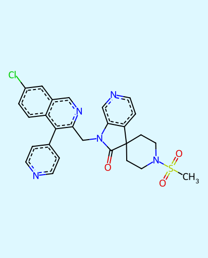 CS(=O)(=O)N1CCC2(CC1)C(=O)N(Cc1ncc3cc(Cl)ccc3c1-c1ccncc1)c1cnccc12